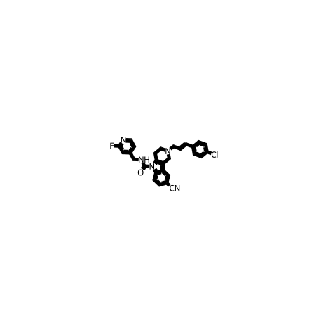 N#Cc1ccc2c(c1)c1c(n2C(=O)NCc2ccnc(F)c2)CCN(CC=Cc2ccc(Cl)cc2)C1